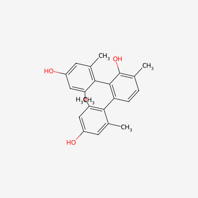 Cc1ccc(-c2c(C)cc(O)cc2C)c(-c2c(C)cc(O)cc2C)c1O